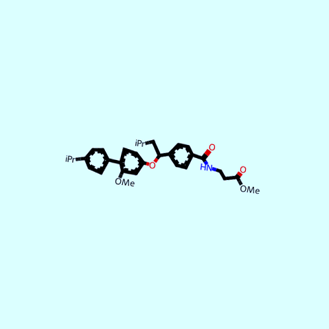 COC(=O)CCNC(=O)c1ccc(C(CC(C)C)Oc2ccc(-c3ccc(C(C)C)cc3)c(OC)c2)cc1